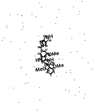 COc1cccc(OC)c1S(=O)(=O)Nc1n[nH]c2cc(Cn3cc4c(n3)CNC4)cc(OC)c12